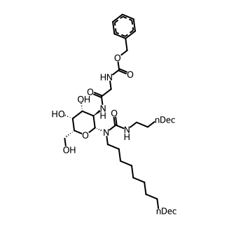 CCCCCCCCCCCCCCCCCCN(C(=O)NCCCCCCCCCCCC)[C@@H]1O[C@H](CO)[C@H](O)[C@H](O)[C@H]1NC(=O)CNC(=O)OCc1ccccc1